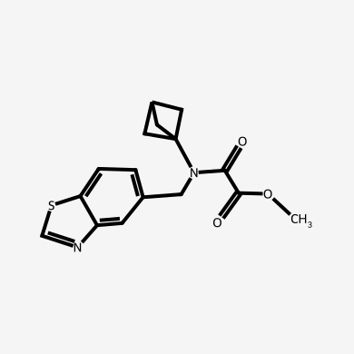 COC(=O)C(=O)N(Cc1ccc2scnc2c1)C12CC(C1)C2